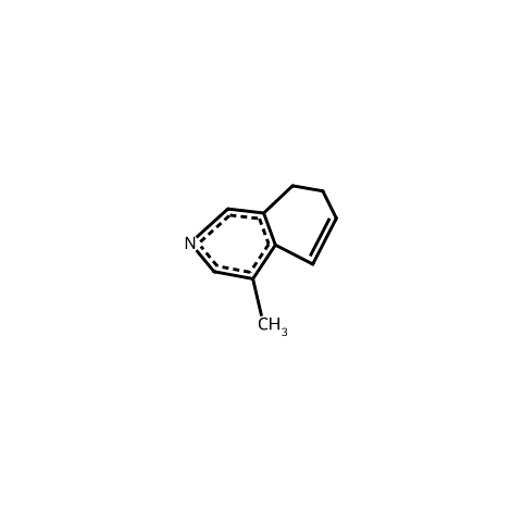 Cc1cncc2c1C=CCC2